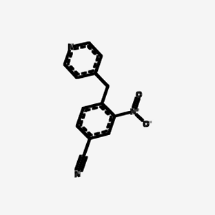 N#Cc1ccc(Cc2ccncc2)c([N+](=O)[O-])c1